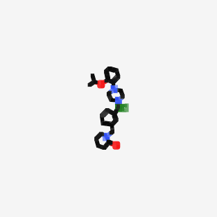 CC(C)Oc1ccccc1N1CCN(Cc2cccc(CN3CCCCC3=O)c2)CC1.Cl